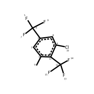 Cc1cc(C(F)(F)F)cc(Cl)c1C(F)(F)F